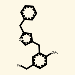 CC(=O)Oc1ccc(CC(C)C)cc1Cc1coc(Cc2ccccc2)c1